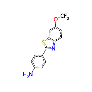 Nc1ccc(-c2nc3ccc(OC(F)(F)F)cc3s2)cc1